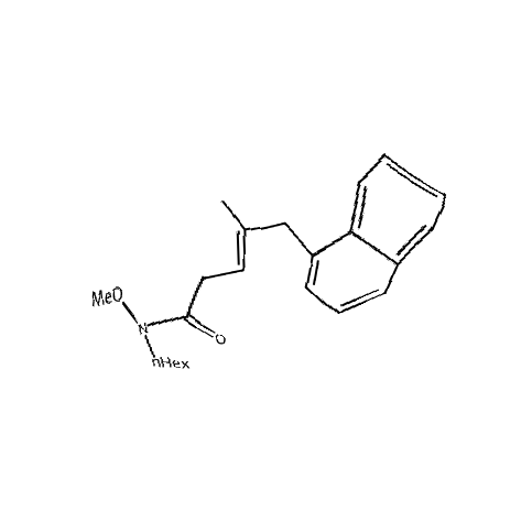 CCCCCCN(OC)C(=O)CC=C(C)Cc1cccc2ccccc12